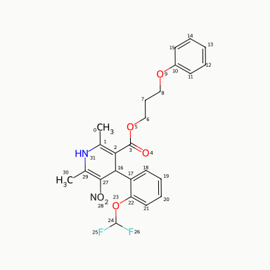 CC1=C(C(=O)OCCCOc2ccccc2)C(c2ccccc2OC(F)F)C([N+](=O)[O-])=C(C)N1